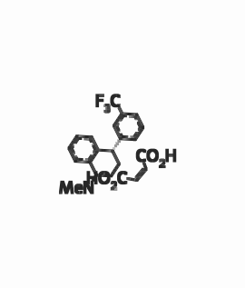 CN[C@@H]1CC[C@@H](c2cccc(C(F)(F)F)c2)c2ccccc21.O=C(O)/C=C\C(=O)O